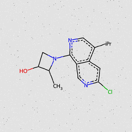 CC(C)c1cnc(N2CC(O)C2C)c2cnc(Cl)cc12